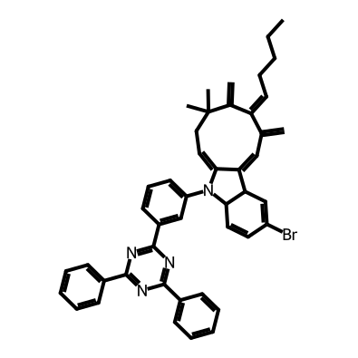 C=C1/C=C2\C(=C/CC(C)(C)C(=C)/C1=C\CCCC)N(c1cccc(-c3nc(-c4ccccc4)nc(-c4ccccc4)n3)c1)C1C=CC(Br)=CC21